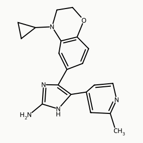 Cc1cc(-c2[nH]c(N)nc2-c2ccc3c(c2)N(C2CC2)CCO3)ccn1